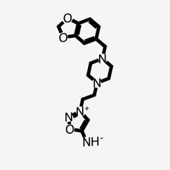 [NH-]c1c[n+](CCN2CCN(Cc3ccc4c(c3)OCO4)CC2)no1